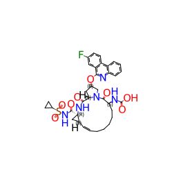 O=C(O)N[C@H]1CCCCCC=C[C@@H]2C[C@@]2(C(=O)NS(=O)(=O)C2CC2)NC(=O)[C@@H]2C[C@@H](Oc3nc4ccccc4c4ccc(F)cc34)CN2C1=O